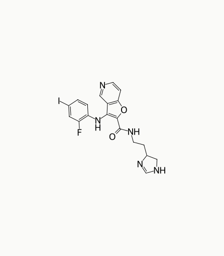 O=C(NCCC1CNC=N1)c1oc2ccncc2c1Nc1ccc(I)cc1F